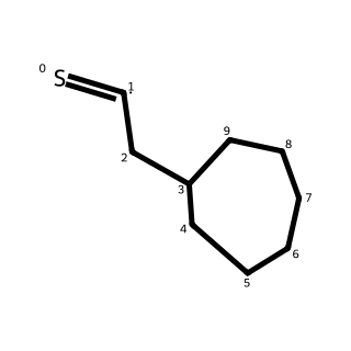 S=[C]CC1CCCCCC1